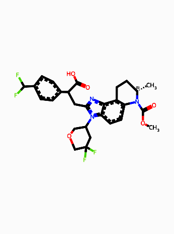 COC(=O)N1c2ccc3c(nc(CC(C(=O)O)c4ccc(C(F)F)cc4)n3C3COCC(F)(F)C3)c2CC[C@@H]1C